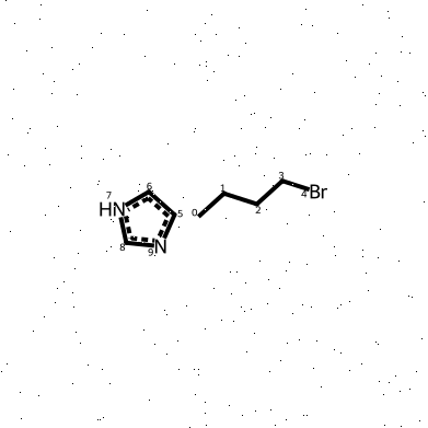 CCCCBr.c1c[nH]cn1